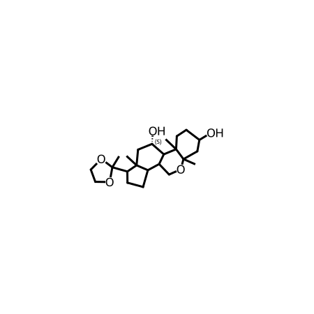 CC1(C2CCC3C4COC5(C)CC(O)CCC5(C)C4[C@@H](O)CC32C)OCCO1